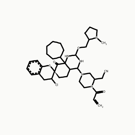 C=CC(=O)N1CCN(C2NC(OCC3CCCN3C)NC3(C4CCCCCC4)C(=O)[C@@]4(CCC23)Sc2ccccc2CC4Cl)CC1CC#N